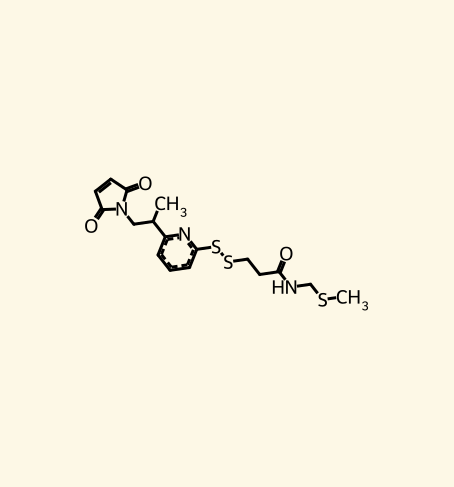 CSCNC(=O)CCSSc1cccc(C(C)CN2C(=O)C=CC2=O)n1